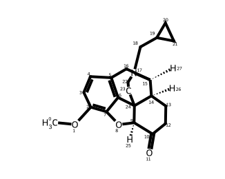 COc1ccc2c3c1O[C@@H]1C(=O)CC[C@@H]4[C@H](C2)N(CC2CC2)CCC314